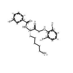 NCCCCC[C@H](NC(=O)c1cccc(F)c1)C(=O)COc1c(F)cccc1F